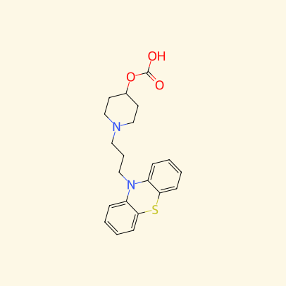 O=C(O)OC1CCN(CCCN2c3ccccc3Sc3ccccc32)CC1